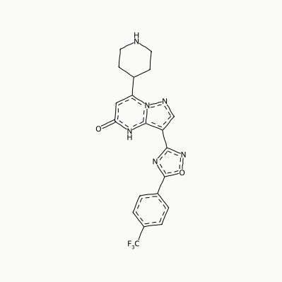 O=c1cc(C2CCNCC2)n2ncc(-c3noc(-c4ccc(C(F)(F)F)cc4)n3)c2[nH]1